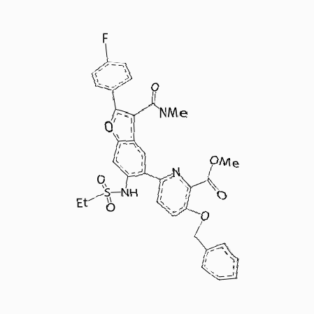 CCS(=O)(=O)Nc1cc2oc(-c3ccc(F)cc3)c(C(=O)NC)c2cc1-c1ccc(OCc2ccccc2)c(C(=O)OC)n1